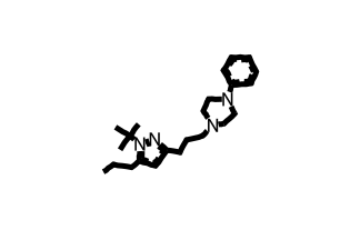 CCCc1cc(CCCN2CCN(c3ccccc3)CC2)nn1C(C)(C)C